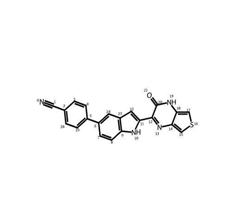 N#Cc1ccc(-c2ccc3[nH]c(-c4nc5cscc5[nH]c4=O)cc3c2)cc1